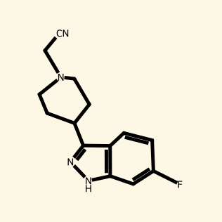 N#CCN1CCC(c2n[nH]c3cc(F)ccc23)CC1